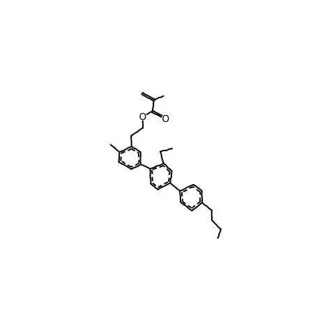 C=C(C)C(=O)OCCc1cc(-c2ccc(-c3ccc(CCCC)cc3)cc2CC)ccc1C